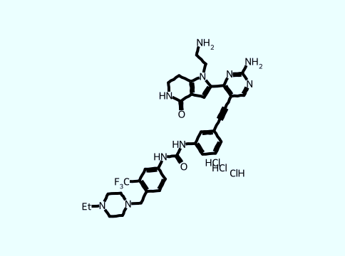 CCN1CCN(Cc2ccc(NC(=O)Nc3cccc(C#Cc4cnc(N)nc4-c4cc5c(n4CCN)CCNC5=O)c3)cc2C(F)(F)F)CC1.Cl.Cl.Cl